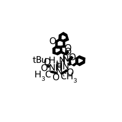 C[C@H](NC(=O)OC(C)(C)C)C(=O)N[C@@H](C)C(=O)N[C@H](Cc1ccccc1)C(=O)N(N)C(=O)c1cccc2c1C(=O)c1ccccc1C2=O